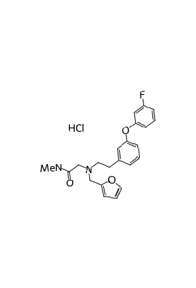 CNC(=O)CN(CCc1cccc(Oc2cccc(F)c2)c1)Cc1ccco1.Cl